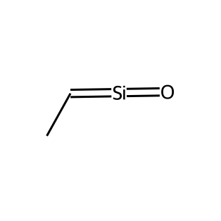 CC=[Si]=O